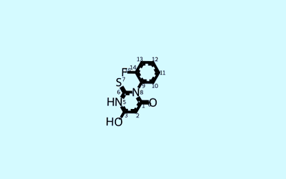 O=c1cc(O)[nH]c(=S)n1-c1ccccc1F